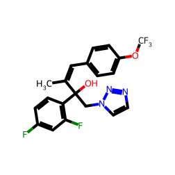 CC(=Cc1ccc(OC(F)(F)F)cc1)C(O)(Cn1ccnn1)c1ccc(F)cc1F